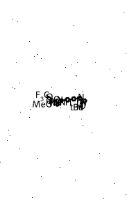 COC(=O)N[C@@H](CCOCC(F)(F)F)C(=O)N1CCC[C@H]1c1ncc(-c2ccc(-c3ccc(-c4cnc([C@@H]5CCCN5C(=O)OC(C)(C)C)[nH]4)cc3)cc2)[nH]1